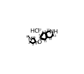 CN1CC[C@@H](Oc2ccc3c(c2)CCNC3)C1.Cl